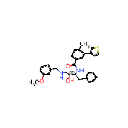 COc1cccc(CNC[C@H](O)[C@H](Cc2ccccc2)NC(=O)c2ccc(C)c(-c3ccsc3)c2)c1